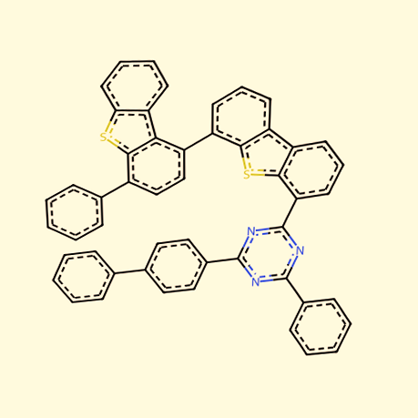 c1ccc(-c2ccc(-c3nc(-c4ccccc4)nc(-c4cccc5c4sc4c(-c6ccc(-c7ccccc7)c7sc8ccccc8c67)cccc45)n3)cc2)cc1